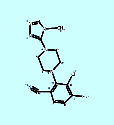 Cn1cnnc1N1CCN(c2c(C#N)ccc(F)c2Cl)CC1